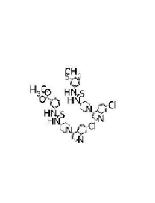 COC(=O)c1cccc(NC(=S)NC2CCN(c3ccnc4cc(Cl)ccc34)CC2)c1.CSc1cccc(NC(=S)NC2CCN(c3ccnc4cc(Cl)ccc34)CC2)c1